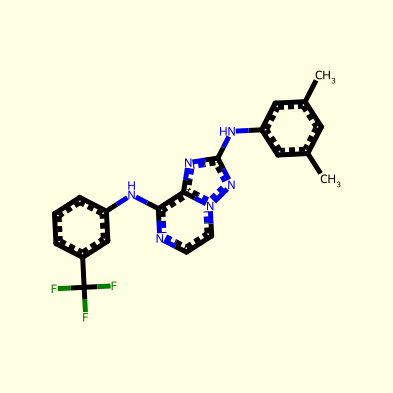 Cc1cc(C)cc(Nc2nc3c(Nc4cccc(C(F)(F)F)c4)nccn3n2)c1